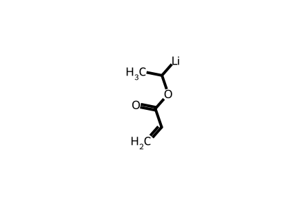 [Li][CH](C)OC(=O)C=C